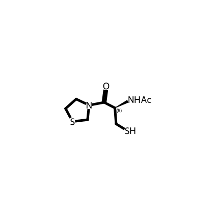 CC(=O)N[C@@H](CS)C(=O)N1CCSC1